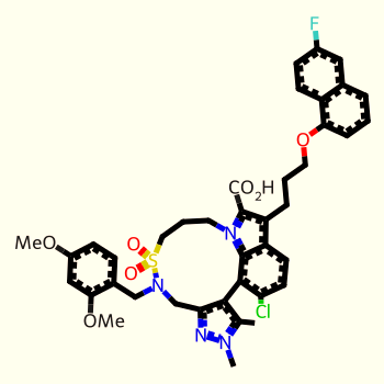 COc1ccc(CN2Cc3nn(C)c(C)c3-c3c(Cl)ccc4c(CCCOc5cccc6cc(F)ccc56)c(C(=O)O)n(c34)CCCS2(=O)=O)c(OC)c1